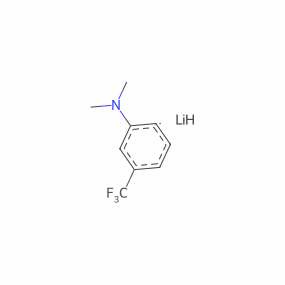 CN(C)c1[c]ccc(C(F)(F)F)c1.[LiH]